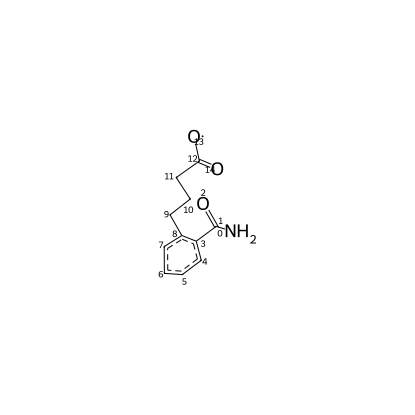 NC(=O)c1ccccc1CCCC([O])=O